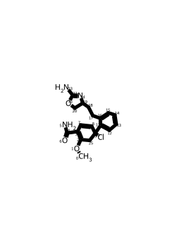 COC1=C(C(N)=O)C=CC(Cl)(c2ccccc2CCC2COC(N)=N2)C1